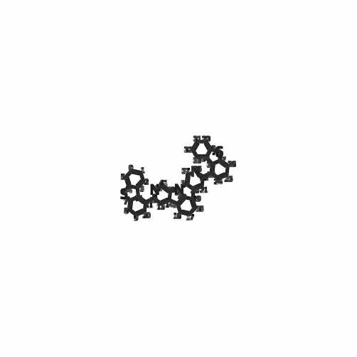 c1ccc2c(c1)sc1cccc(-c3cc4c5cccc6c7cc(-c8cccc9sc%10ccccc%10c89)ncc7n(c4cn3)c56)c12